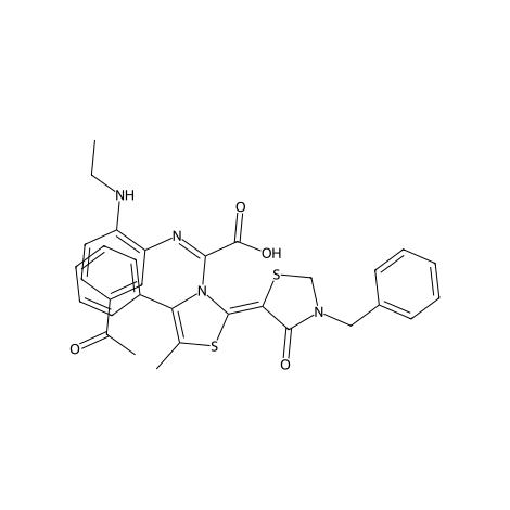 CCNc1ccc(C(C)=O)cc1N=C(C(=O)O)N1C(=C2SCN(Cc3ccccc3)C2=O)SC(C)=C1c1ccccc1